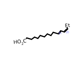 CC/C=C\C=C\CCCCCCCCCC(=O)O